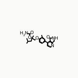 Cc1cc(-c2ccnc3c2C(=O)NC3)ccc1OCC(C)(CC(C)C)OC(N)=O